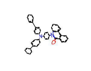 O=c1c2ccccc2c2ccccc2n1-c1ccc(N(c2ccc(-c3ccccc3)cc2)c2ccc(-c3ccccc3)cc2)cc1